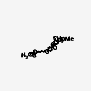 C=CC(=O)OCCCCCCOc1ccc(C(=O)Oc2ccc(OCOC)c(C)c2)cc1